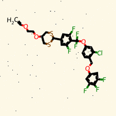 C=COCCOC1CSC(c2cc(F)c(C(F)(F)Oc3ccc(COc4cc(F)c(F)c(F)c4)c(Cl)c3)c(F)c2)SC1